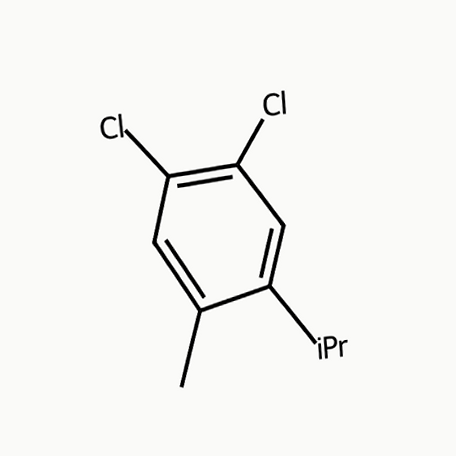 Cc1cc(Cl)c(Cl)cc1C(C)C